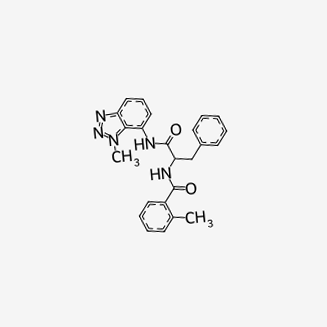 Cc1ccccc1C(=O)NC(Cc1ccccc1)C(=O)Nc1cccc2nnn(C)c12